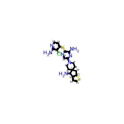 Nc1nc(N2CCC3(CC2)Cc2sccc2C3N)cnc1Sc1ccnc(N)c1Cl